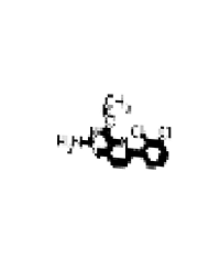 CCOc1nc(N)nc2ccc(-c3cccc(Cl)c3Cl)nc12